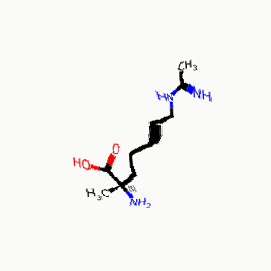 CC(=N)NCC=CCC[C@](C)(N)C(=O)O